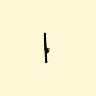 CCCCCCCCCCCCCCCCCCCC(CCCCCCCCCCC)[NH+](C)[O-]